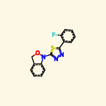 Fc1ccccc1-c1nnc(N2OCc3ccccc32)s1